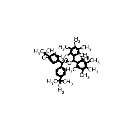 Cc1c(C)c(C)c(C(OOC(c2ccc(C(C)(C)C)cc2)c2ccc(C(C)(C)C)cc2)c2c(C)c(C)c(C)c(C)c2C)c(C)c1C